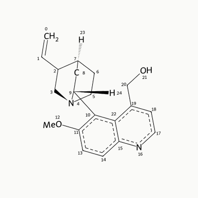 C=CC1C[N@]2CC[C@H]1C[C@@H]2c1c(OC)ccc2nccc(CO)c12